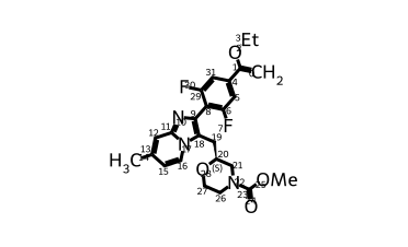 C=C(OCC)c1cc(F)c(-c2nc3cc(C)ccn3c2C[C@H]2CN(C(=O)OC)CCO2)c(F)c1